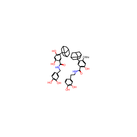 COc1cc(O)c(C(=O)NCCc2ccc(O)c(O)c2)cc1C12CC3CC(CC(C3)C1)C2.O=C(NCc1ccc(O)c(O)c1)c1cc(C23CC4CC(CC(C4)C2)C3)c(O)cc1O